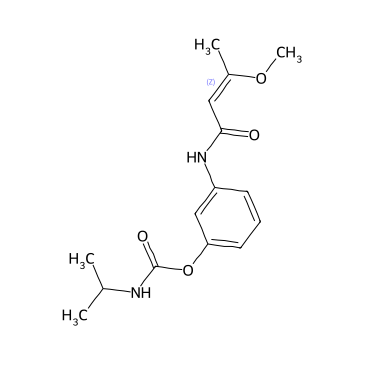 CO/C(C)=C\C(=O)Nc1cccc(OC(=O)NC(C)C)c1